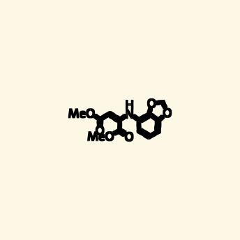 COC(=O)/C=C(/Nc1cccc2c1OCO2)C(=O)OC